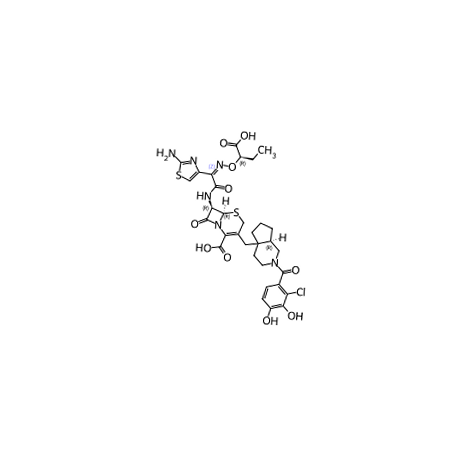 CC[C@@H](O/N=C(\C(=O)N[C@@H]1C(=O)N2C(C(=O)O)=C(CC34CCC[C@H]3CN(C(=O)c3ccc(O)c(O)c3Cl)CC4)CS[C@H]12)c1csc(N)n1)C(=O)O